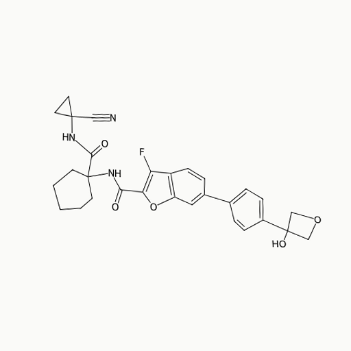 N#CC1(NC(=O)C2(NC(=O)c3oc4cc(-c5ccc(C6(O)COC6)cc5)ccc4c3F)CCCCC2)CC1